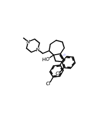 CN1CCN(CC2CCCC/C(=C/c3ccc(Cl)cc3)C2(O)Cc2ccccc2Cl)CC1